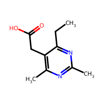 CCc1nc(C)nc(C)c1CC(=O)O